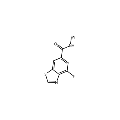 CC(C)NC(=O)c1cc(F)c2ncsc2c1